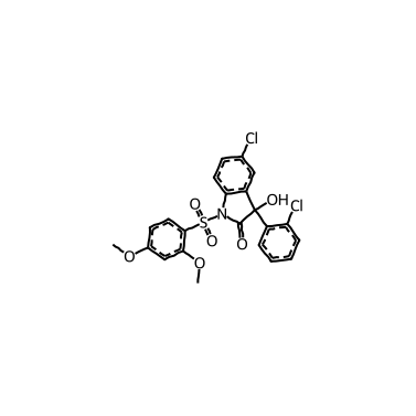 COc1ccc(S(=O)(=O)N2C(=O)C(O)(c3ccccc3Cl)c3cc(Cl)ccc32)c(OC)c1